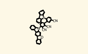 N#Cc1ccc(-n2c3ccccc3c3ccccc32)c(-c2ccc(-n3c4ccccc4c4cc5c(cc43)oc3ccccc35)c(C#N)c2C#N)c1